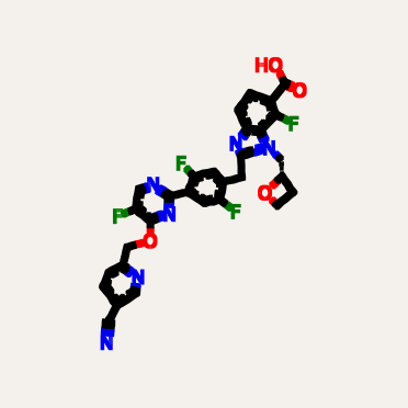 N#Cc1ccc(COc2nc(-c3cc(F)c(Cc4nc5ccc(C(=O)O)c(F)c5n4C[C@@H]4CCO4)cc3F)ncc2F)nc1